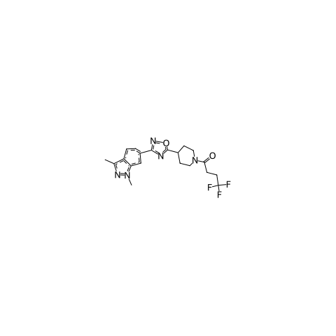 Cc1nn(C)c2cc(-c3noc(C4CCN(C(=O)CCC(F)(F)F)CC4)n3)ccc12